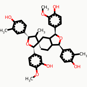 COc1ccc([C@@H]2O[C@H](c3ccc(O)c(C)c3)C(C)[C@]23CCC2C(C3)[C@@H](c3ccc(O)c(OC)c3)O[C@H]2c2ccc(O)c(C)c2)cc1O